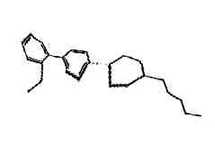 CCCCC[C@H]1CC[C@H](c2ccc(-c3ccccc3CC)cc2)CC1